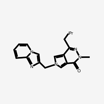 CC(C)Cc1nn(C)c(=O)c2cn(Cc3cn4ccccc4n3)cc12